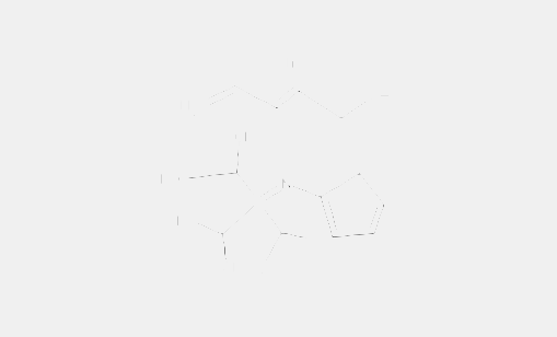 C=CC=CCC.CC(C)P(=NC1=CC=CC1)(C(C)C)C(C)C.[Ti]